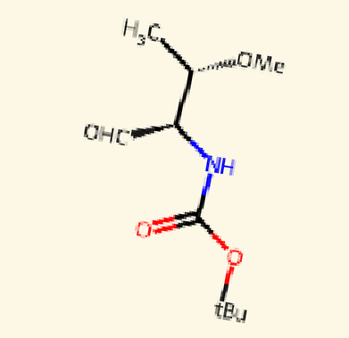 CO[C@@H](C)[C@H](C=O)NC(=O)OC(C)(C)C